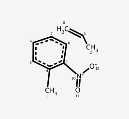 C=CC.Cc1ccccc1[N+](=O)[O-]